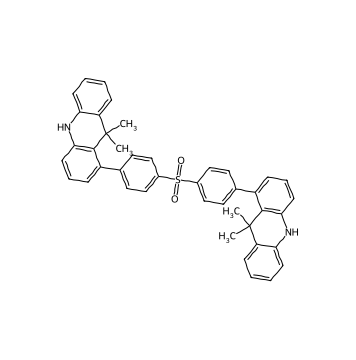 CC1(C)c2ccccc2Nc2cccc(-c3ccc(S(=O)(=O)c4ccc(-c5cccc6c5C(C)(C)c5ccccc5N6)cc4)cc3)c21